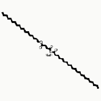 CCCCCCCCCCCCCCCCCCCCCC(=O)OC(=O)/C=C/C(=O)OCCCCCCCCCCCCCCCCCC.[NaH]